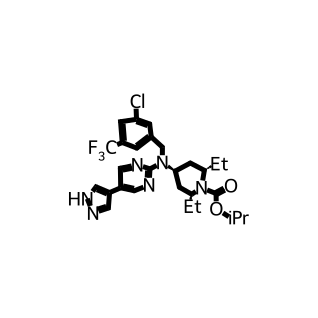 CC[C@@H]1C[C@@H](N(Cc2cc(Cl)cc(C(F)(F)F)c2)c2ncc(-c3cn[nH]c3)cn2)C[C@H](CC)N1C(=O)OC(C)C